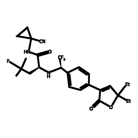 CCC1(CC)C=C(c2ccc([C@H](N[C@@H](CC(C)(C)F)C(=O)NC3(C#N)CC3)C(F)(F)F)cc2)C(=O)O1